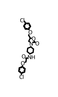 O=C(COc1ccc(Cl)cc1)N[C@H]1CC[C@H](N2CC(COc3ccc(Cl)cc3)OC2=O)CC1